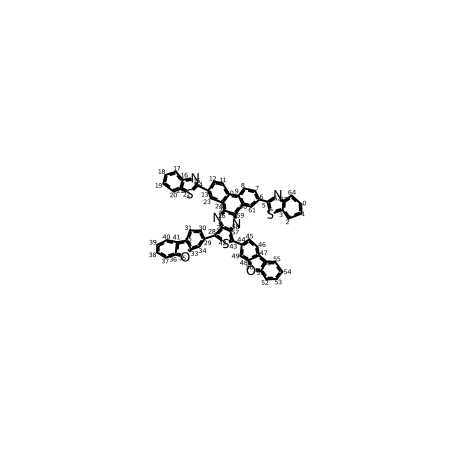 c1ccc2sc(-c3ccc4c5ccc(-c6nc7ccccc7s6)cc5c5nc6c(-c7ccc8c(c7)oc7ccccc78)sc(-c7ccc8c(c7)oc7ccccc78)c6nc5c4c3)nc2c1